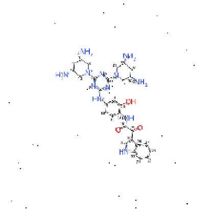 N[C@@H]1C[C@H](N)CN(c2nc(Nc3ccc(NC(=O)C(=O)c4c[nH]c5ccccc45)c(O)c3)nc(N3C[C@H](N)C[C@H](N)C3)n2)C1